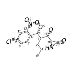 CCCC(C(=O)c1ccc(Cl)cc1[N+](=O)[O-])C(=O)C1NC1=O